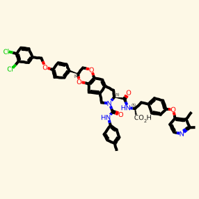 Cc1ccc(NC(=O)N2Cc3cc4c(cc3C[C@H]2C(=O)N[C@@H](Cc2ccc(Oc3ccnc(C)c3C)cc2)C(=O)O)OC[C@H](c2ccc(OCc3ccc(Cl)c(Cl)c3)cc2)O4)cc1